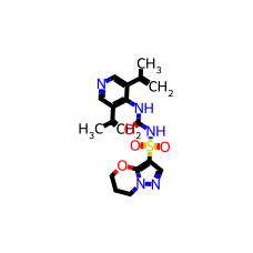 C=C(C)c1cncc(C(=C)C)c1NC(=O)NS(=O)(=O)c1cnn2c1OCCC2